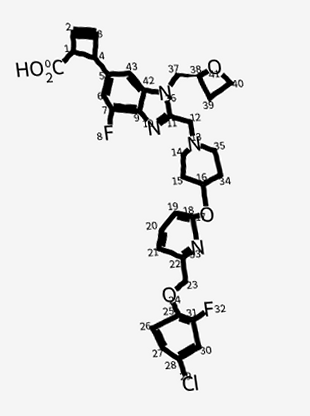 O=C(O)C1C#CC1c1cc(F)c2nc(CN3CCC(Oc4cccc(COc5ccc(Cl)cc5F)n4)CC3)n(C[C@@H]3CCO3)c2c1